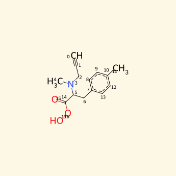 C#CCN(C)C(Cc1ccc(C)cc1)C(=O)OO